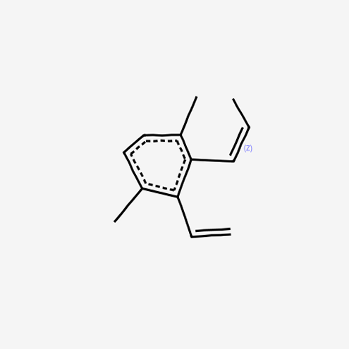 C=Cc1c(C)ccc(C)c1/C=C\C